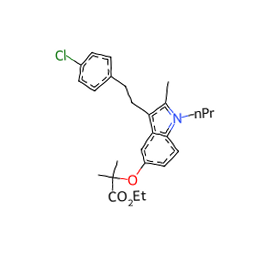 CCCn1c(C)c(CCc2ccc(Cl)cc2)c2cc(OC(C)(C)C(=O)OCC)ccc21